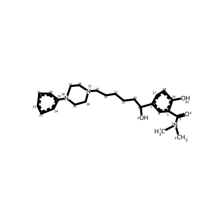 CN(C)C(=O)c1cc(C(O)CCCCCN2CCN(c3ccccc3)CC2)ccc1O